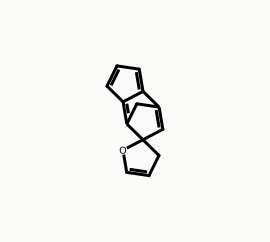 C1=CC2=C3CC(=CC34CC=CO4)C2=C1